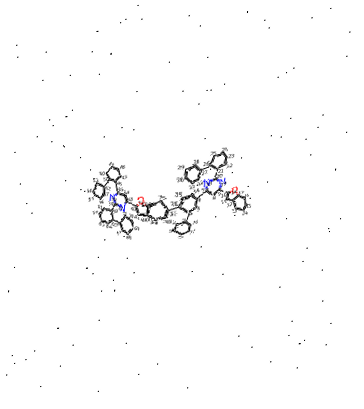 c1ccc(-c2cc(-c3cc(-c4cc5ccccc5o4)nc(-c4ccccc4-c4ccccc4)n3)ccc2-c2ccc3cc(-c4cc(-c5ccccc5-c5ccccc5)nc(-c5ccccc5-c5ccccc5)n4)oc3c2)cc1